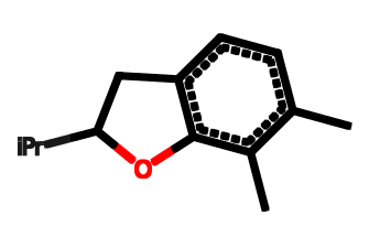 Cc1ccc2c(c1C)OC(C(C)C)C2